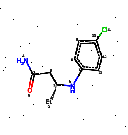 CC[C@H](CC(N)=O)Nc1ccc(Cl)cc1